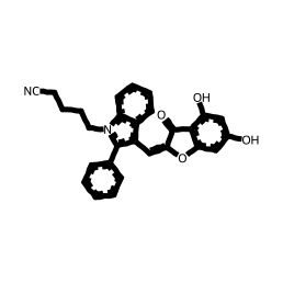 N#CCCCCn1c(-c2ccccc2)c(C=C2Oc3cc(O)cc(O)c3C2=O)c2ccccc21